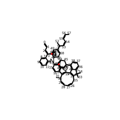 C=C/C=C(\C1=CC1)c1ccccc1N(c1ccc2c3c(oc2c1)C1=C(C/C=C\C=C/[C@H]3C)C(C)(C)c2cccc(C3C=CC=CC3)c21)C1C=CC(C(C)/C=C\C=C/C)=CC1